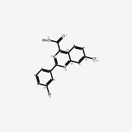 COC(=O)c1nc(-c2cccc(Br)c2)nc2cc(C(F)(F)F)ccc12